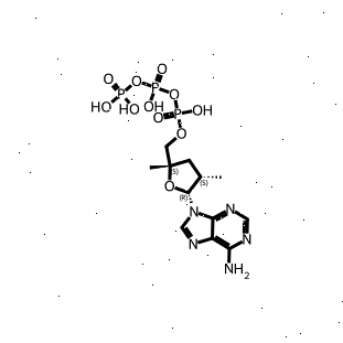 C[C@H]1C[C@@](C)(COP(=O)(O)OP(=O)(O)OP(=O)(O)O)O[C@H]1n1cnc2c(N)ncnc21